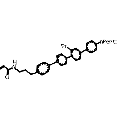 C=CC(=O)NCCCc1ccc(-c2ccc(-c3ccc(-c4ccc(CCCCC)cc4)cc3CC)cc2)cc1